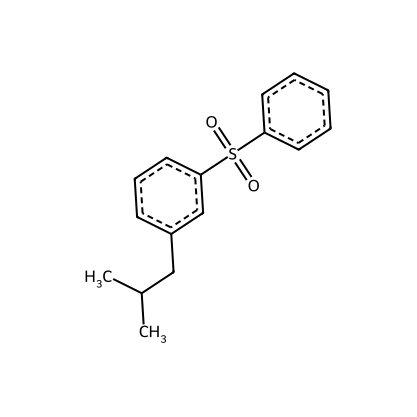 CC(C)Cc1cccc(S(=O)(=O)c2ccccc2)c1